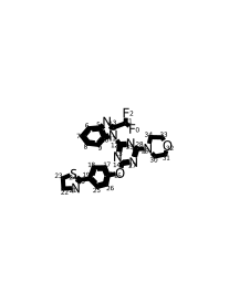 FC(F)c1nc2ccccc2n1-c1nc(Oc2ccc(C3=NCCS3)cc2)nc(N2CCOCC2)n1